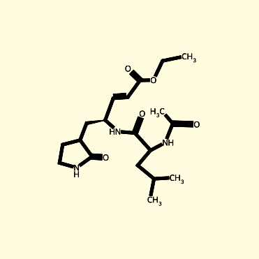 CCOC(=O)/C=C/[C@H](CC1CCNC1=O)NC(=O)C(CC(C)C)NC(C)=O